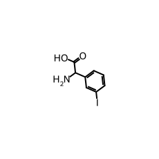 NC(C(=O)O)c1cccc(I)c1